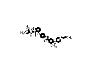 CCCCN1CCC(Oc2ccc(C(=O)Nc3ccc(Oc4cccc(F)c4NC(=O)NC(CC)CC)cc3)cc2C)CC1